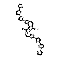 O=C1C2=C3c4sc(-c5ccc(-c6ccc(-c7cccs7)s6)s5)cc4C=CN3C(O)C2=C2c3sc(-c4ccc(-c5ccc(-c6cccs6)s5)s4)cc3C=CN12